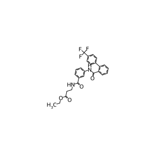 CCOC(=O)CCNC(=O)c1cccc(NC(=O)c2ccccc2-c2ccc(C(F)(F)F)cc2)c1